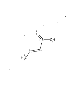 CC=CS(=O)O